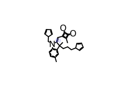 Cc1ccc2c(c1)C(C)(CCCC1C=CC=C1)/C(=C\c1c(C)c(=O)c1=O)N2CC1C=CC=C1